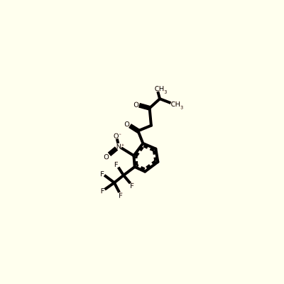 CC(C)C(=O)CC(=O)c1cccc(C(F)(F)C(F)(F)F)c1[N+](=O)[O-]